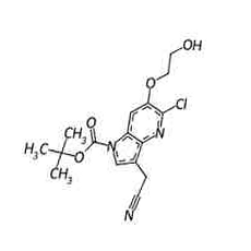 CC(C)(C)OC(=O)n1cc(CC#N)c2nc(Cl)c(OCCO)cc21